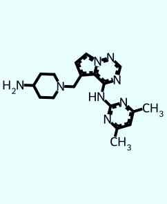 Cc1cc(C)nc(Nc2ncnn3ccc(CN4CCC(N)CC4)c23)n1